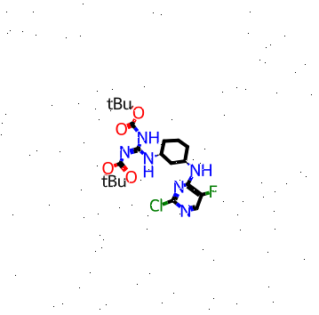 CC(C)(C)OC(=O)/N=C(/NC(=O)OC(C)(C)C)N[C@@H]1CCC[C@H](Nc2nc(Cl)ncc2F)C1